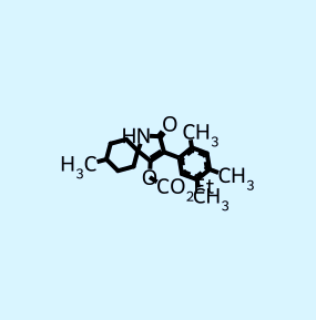 CCOC(=O)OC1=C(c2cc(C)c(C)cc2C)C(=O)NC12CCC(C)CC2